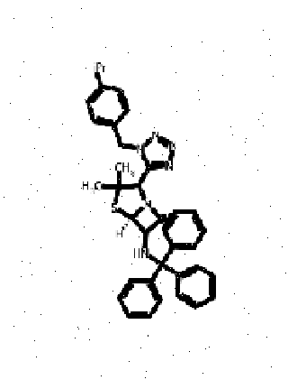 CC(C)c1ccc(Cn2nnnc2C2N3C(=O)C(NC(c4ccccc4)(c4ccccc4)c4ccccc4)[C@H]3SC2(C)C)cc1